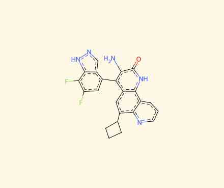 Nc1c(-c2cc(F)c(F)c3[nH]ncc23)c2cc(C3CCC3)c3ncccc3c2[nH]c1=O